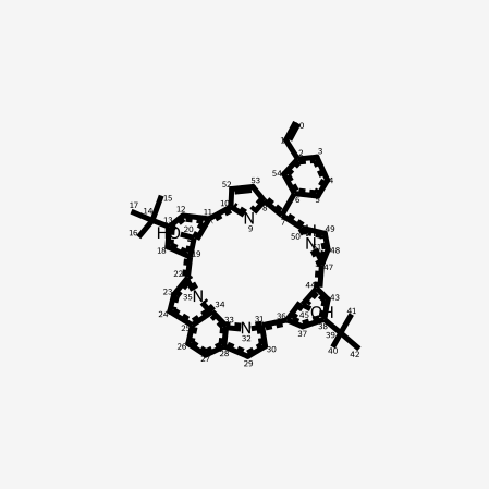 C=Cc1cccc(-c2c3nc(c4cc(C(C)(C)C)cc(c4O)c4ccc5ccc6ccc(nc6c5n4)c4cc(C(C)(C)C)cc(c4O)c4ccc2[nH]4)C=C3)c1